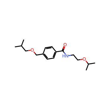 CC(C)COCc1ccc(C(=O)NCCOC(C)C)cc1